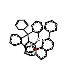 C1=CCC(C2(c3ccccc3-c3ccc4ccc5ccc(-c6ccccc6)nc5c4n3)c3ccccc3Oc3ccccc32)C=C1